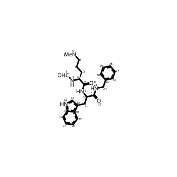 CNCCC[C@H](NC=O)C(=O)NC(Cc1c[nH]c2ccccc12)C(=O)NCc1ccccc1